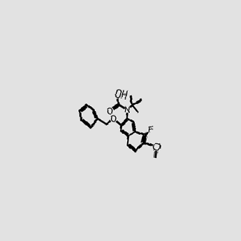 COc1ccc2cc(OCc3ccccc3)c(N(C(=O)O)C(C)(C)C)cc2c1F